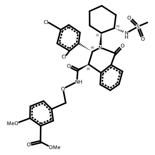 COC(=O)c1cc(CONC(=O)[C@@H]2c3ccccc3C(=O)N([C@H]3CCCC[C@@H]3NS(C)(=O)=O)[C@H]2c2ccc(Cl)cc2Cl)ccc1OC